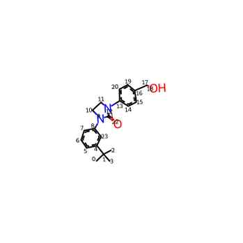 CC(C)(C)c1cccc(N2CCN(c3ccc(CO)cc3)C2=O)c1